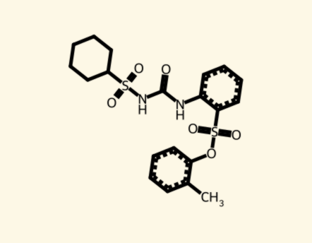 Cc1ccccc1OS(=O)(=O)c1ccccc1NC(=O)NS(=O)(=O)C1CCCCC1